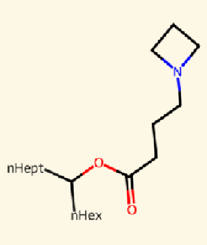 CCCCCCCC(CCCCCC)OC(=O)CCCN1CCC1